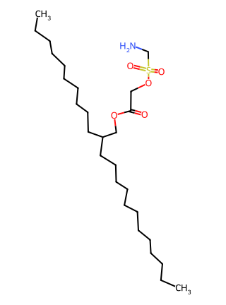 CCCCCCCCCCCCC(CCCCCCCCCC)COC(=O)COS(=O)(=O)CN